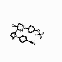 N#Cc1ccc(-n2nccc2-c2nn(-c3ccc(OC(F)(F)F)cc3)ccc2=O)cc1